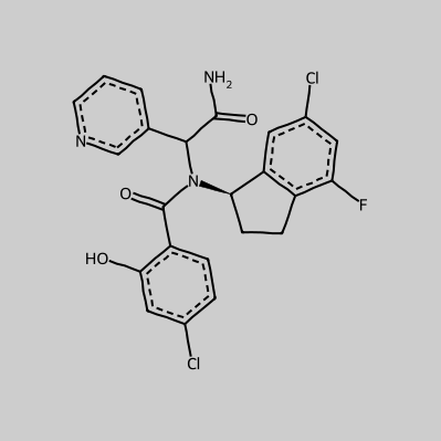 NC(=O)C(c1cccnc1)N(C(=O)c1ccc(Cl)cc1O)[C@@H]1CCc2c(F)cc(Cl)cc21